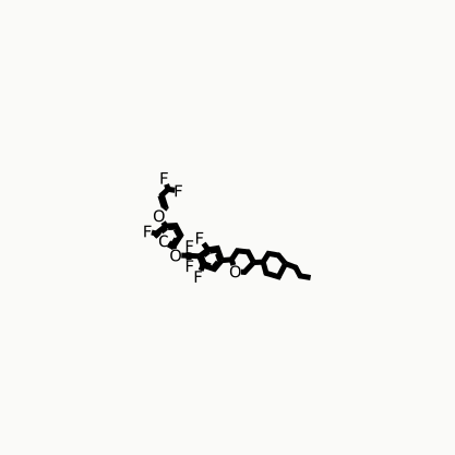 CCCC1CCC(C2CCC(c3cc(F)c(C(F)(F)Oc4ccc(O/C=C/C(F)F)c(F)c4)c(F)c3)OC2)CC1